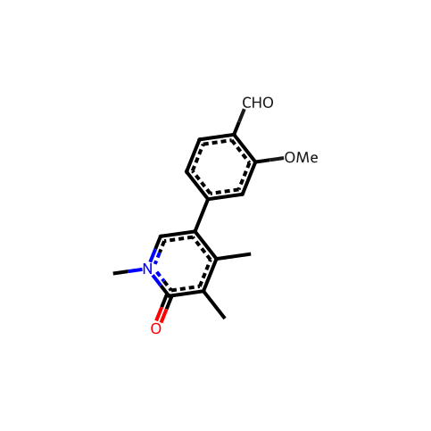 COc1cc(-c2cn(C)c(=O)c(C)c2C)ccc1C=O